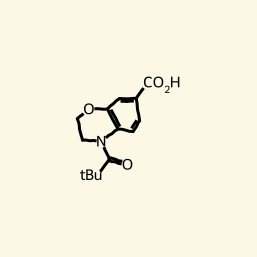 CC(C)(C)C(=O)N1CCOc2cc(C(=O)O)ccc21